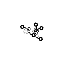 O=C(NCCc1ccc(OCc2ccccc2)c(OP(=O)(OCc2ccccc2)OCc2ccccc2)c1)OCc1ccccc1